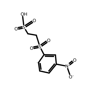 O=[N+]([O-])c1cc[c]c(S(=O)(=O)CCS(=O)(=O)O)c1